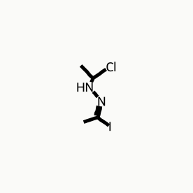 C/C(I)=N\NC(C)Cl